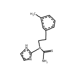 Cc1cccc(CCN(C(N)=S)c2ncc[nH]2)c1